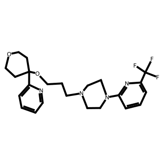 FC(F)(F)c1cccc(N2CCN(CCCOC3(c4ccccn4)CCOCC3)CC2)n1